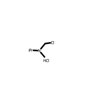 CC(C)N(C)CCl.Cl